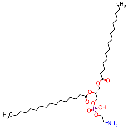 CCCCCCCCCCCCCCCC(=O)OC[C@H](COP(=O)(O)OCCN)OC(=O)CCCCCCCCCCCCCCC